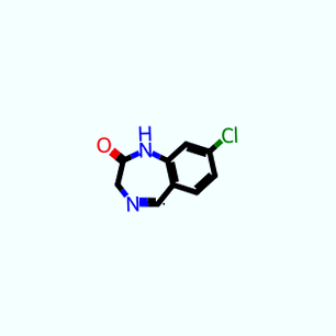 O=C1CN=[C]c2ccc(Cl)cc2N1